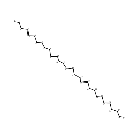 CCCC=CCCCCCCCCCCCCCC=CCCCCCCCCCC